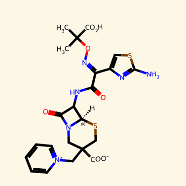 CC(C)(ON=C(C(=O)NC1C(=O)N2CC(C[n+]3ccccc3)(C(=O)[O-])CS[C@H]12)c1csc(N)n1)C(=O)O